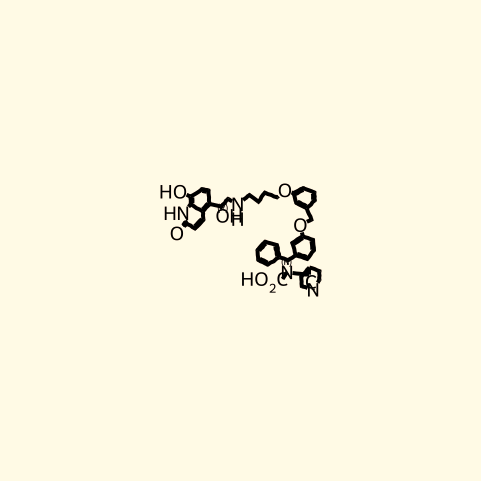 O=C(O)N(C1CN2CCC1CC2)[C@H](c1ccccc1)c1cccc(OCc2cccc(OCCCCNC[C@H](O)c3ccc(O)c4[nH]c(=O)ccc34)c2)c1